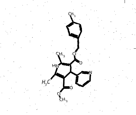 COC(=O)C1=C(C)NC(C)=C(C(=O)OCc2ccc(C)cc2)C1c1cccnc1